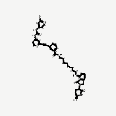 O=C1CCC(N2Cc3cccc(NCCCCCCCCNC(=O)c4cccc(C#Cc5cc(NC(=O)Nc6ccnc(Cl)c6)ccn5)c4)c3C2=O)C(=O)N1